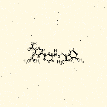 Cc1sc2c(C)cccc2c1CCNc1cc(-c2ccc(C(=O)O)c(SC(C)C)c2)ncn1